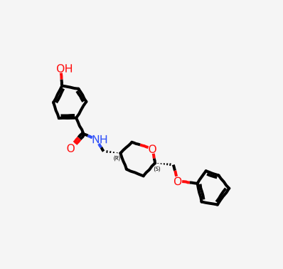 O=C(NC[C@H]1CC[C@@H](COc2ccccc2)OC1)c1ccc(O)cc1